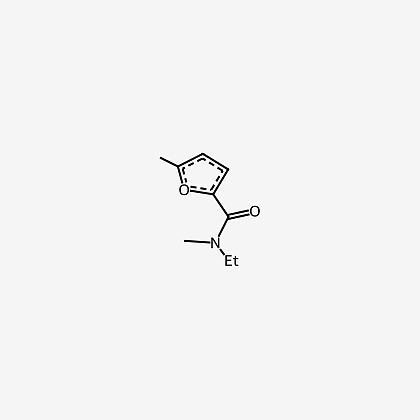 CCN(C)C(=O)c1ccc(C)o1